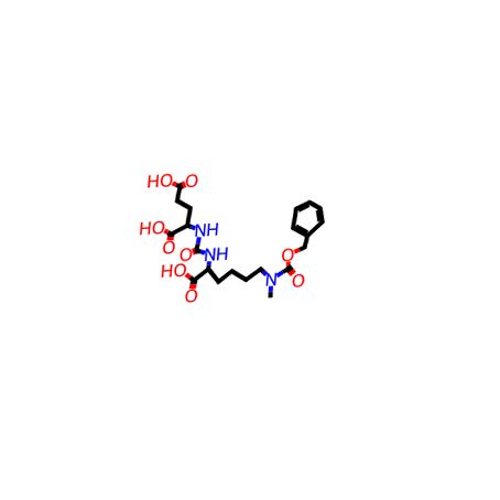 CN(CCCCC(NC(=O)NC(CCC(=O)O)C(=O)O)C(=O)O)C(=O)OCc1ccccc1